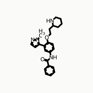 Cn1nccc1-c1cc(NC(=O)c2ccccc2)ccc1OCCC1CCCCN1